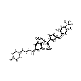 COc1nc(NCCCN2CCN(C)CC2)nc(OC)c1NC(=O)c1ccc(Oc2cc3c(cc2C)[Si](C)(C)CC3)o1